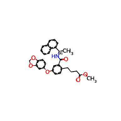 COC(=O)CCCc1ccc(Oc2ccc3c(c2)OCO3)cc1C(=O)N[C@H](C)c1cccc2ccccc12